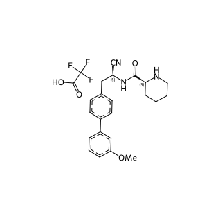 COc1cccc(-c2ccc(C[C@@H](C#N)NC(=O)[C@@H]3CCCCN3)cc2)c1.O=C(O)C(F)(F)F